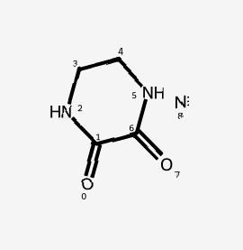 O=C1NCCNC1=O.[N]